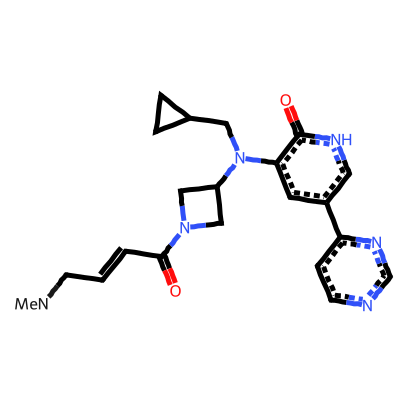 CNC/C=C/C(=O)N1CC(N(CC2CC2)c2cc(-c3ccncn3)c[nH]c2=O)C1